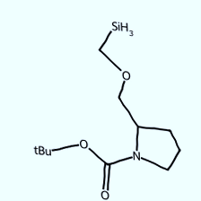 CC(C)(C)OC(=O)N1CCCC1COC[SiH3]